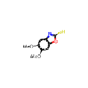 COc1cc2nc(S)oc2cc1OC